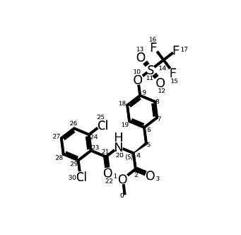 COC(=O)[C@H](Cc1ccc(OS(=O)(=O)C(F)(F)F)cc1)NC(=O)c1c(Cl)cccc1Cl